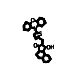 O=C1/C(=C\c2ccc(N3c4ccccc4Oc4ccccc43)s2)C(O)c2c1ccc1ccccc21